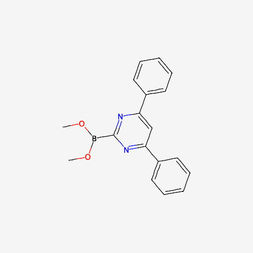 COB(OC)c1nc(-c2ccccc2)cc(-c2ccccc2)n1